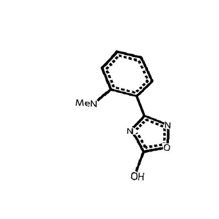 CNc1ccccc1-c1noc(O)n1